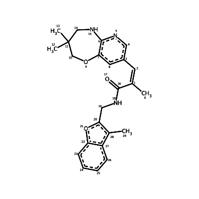 CC(=Cc1cnc2c(c1)OCC(C)(C)CN2)C(=O)NCc1oc2ccccc2c1C